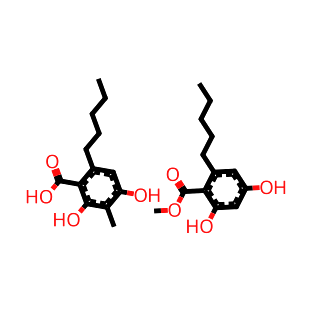 CCCCCc1cc(O)c(C)c(O)c1C(=O)O.CCCCCc1cc(O)cc(O)c1C(=O)OC